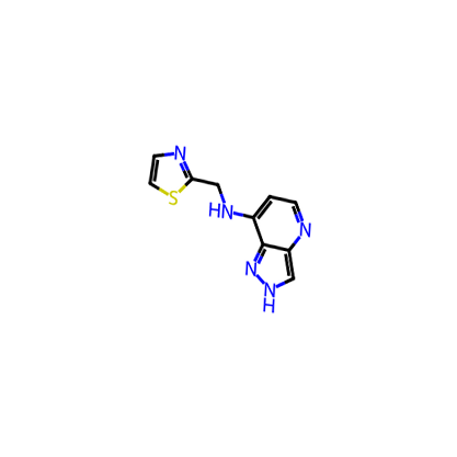 c1csc(CNc2ccnc3c[nH]nc23)n1